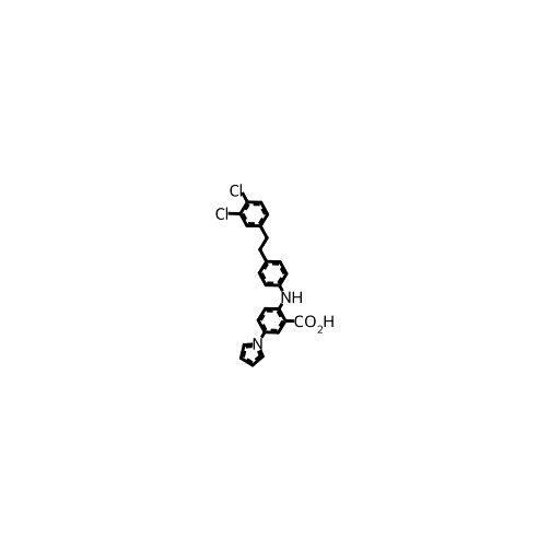 O=C(O)c1cc(-n2cccc2)ccc1Nc1ccc(CCc2ccc(Cl)c(Cl)c2)cc1